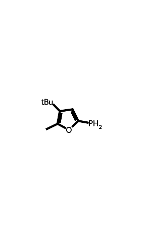 Cc1oc(P)cc1C(C)(C)C